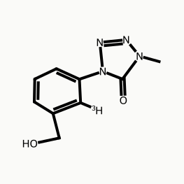 [3H]c1c(CO)cccc1-n1nnn(C)c1=O